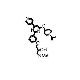 C=C(C)N1CCC(N(C)c2cc(-c3ccncc3)nc(-c3cccc(OCC(O)CNC)c3)n2)CC1